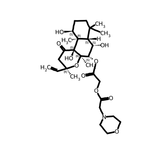 C=C[C@@]1(C)CC(=O)[C@]2(O)[C@@]3(C)[C@@H](O)CCC(C)(C)[C@@H]3[C@H](O)[C@H](OC(=O)COC(=O)CN3CCOCC3)[C@@]2(C)O1